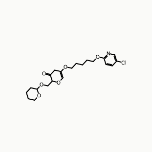 O=C1CC(OCCCCCOc2ccc(Cl)cn2)=COC1COC1CCCCO1